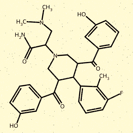 Cc1c(F)cccc1C1C(C(=O)c2cccc(O)c2)CN(C(CN(C)C)C(N)=O)CC1C(=O)c1cccc(O)c1